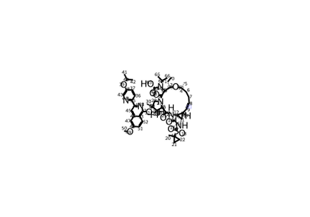 CC[C@@H]1O[C@H](C)CC/C=C\[C@@H]2C[C@@]2(C(=O)NS(=O)(=O)C2(C)CC2)NC(=O)[C@@H]2N(C[C@@](C)(Oc3nc(-c4ccc(OC(C)C)cn4)cc4cc(OC)ccc34)C2(F)F)C(=O)[C@H]1N(C(=O)O)C(C)C